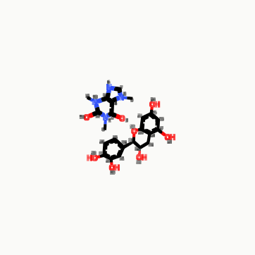 Cn1c(=O)c2c(ncn2C)n(C)c1=O.Oc1cc(O)c2c(c1)O[C@H](c1ccc(O)c(O)c1)[C@@H](O)C2